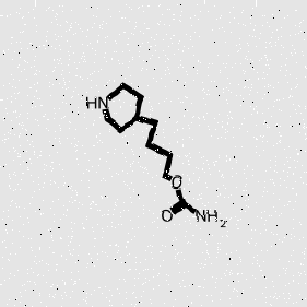 NC(=O)OCCCCC1CCNCC1